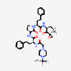 CCCC(I)(CC)N1CCN(CC(=O)N[C@@H](CCc2ccccc2)C(=O)N[C@@H](CC(C)C)C(=O)N[C@@H](CCc2ccccc2)C(=O)N[C@@H](CC(C)C)C(=O)[C@@]2(C)CO2)CC1